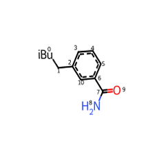 CCC(C)Cc1cccc(C(N)=O)c1